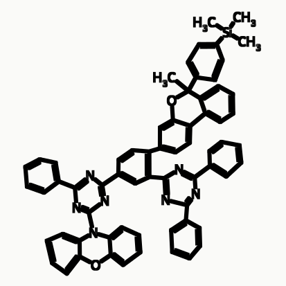 CC1(c2ccc([Si](C)(C)C)cc2)Oc2cc(-c3ccc(-c4nc(-c5ccccc5)nc(N5c6ccccc6Oc6ccccc65)n4)cc3-c3nc(-c4ccccc4)nc(-c4ccccc4)n3)ccc2-c2ccccc21